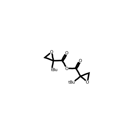 CC(C)(C)C1(C(=O)OC(=O)C2(C(C)(C)C)CO2)CO1